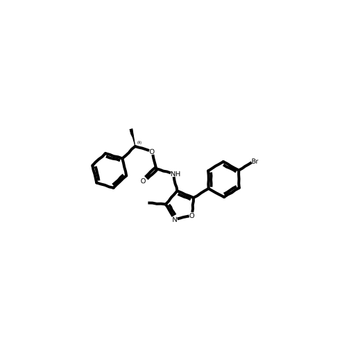 Cc1noc(-c2ccc(Br)cc2)c1NC(=O)O[C@H](C)c1ccccc1